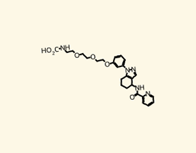 O=C(O)NCCOCCOCCOc1cccc(-n2ncc3c2CCCC3NC(=O)c2ccccn2)c1